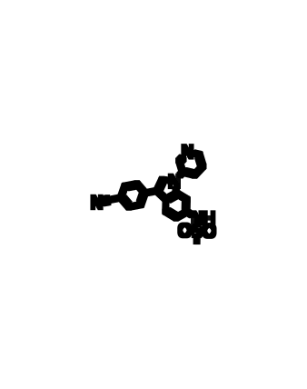 CS(=O)(=O)Nc1ccc2c(-c3ccc(C#N)cc3)cn(-c3cccnc3)c2c1